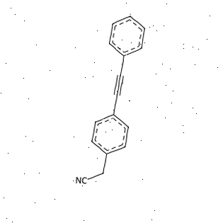 N#CCc1ccc(C#Cc2cc[c]cc2)cc1